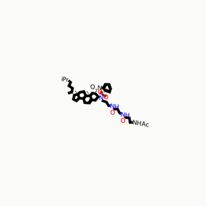 CC(=O)NCCC(=O)NCCC(=O)NCCCN([C@H]1CC[C@@]2(C)C(=CCC3C2CC[C@@]2(C)C3CC[C@@H]2C(C)CCCC(C)C)C1)S(=O)(=O)c1ccccc1[N+](=O)[O-]